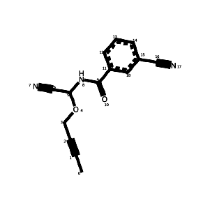 CC#CCOC(C#N)NC(=O)c1cccc(C#N)c1